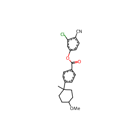 COC1CCC(C)(c2ccc(C(=O)Oc3ccc(C#N)c(Cl)c3)cc2)CC1